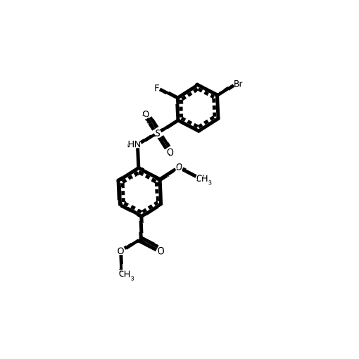 COC(=O)c1ccc(NS(=O)(=O)c2ccc(Br)cc2F)c(OC)c1